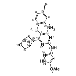 COc1cc(Nc2nc(N)c([C@H](C)c3ccc(F)cn3)c(N3CC4CC3CO4)n2)n[nH]1